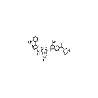 CC(=O)c1cn(CC(=O)N2C[C@H](F)CC2C(=O)Nc2nnc(-c3ccccc3Cl)s2)c2ccc(Nc3cncnc3)cc12